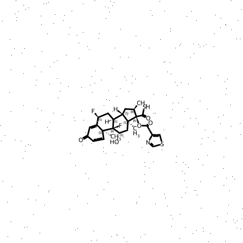 C[C@@H]1C[C@H]2[C@@H]3C[C@H](F)C4=CC(=O)C=C[C@]4(C)[C@@]3(F)[C@@H](O)C[C@]2(C)[C@@]1(OC(=O)c1cscn1)C(=O)S